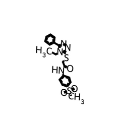 CCn1c(SCC(=O)Nc2ccc(S(C)(=O)=O)cc2)nnc1-c1ccccc1